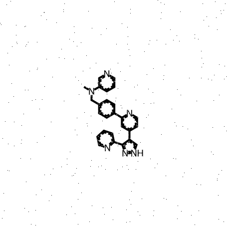 CN(Cc1ccc(-c2cc(-c3c[nH]nc3-c3ccccn3)ccn2)cc1)c1cccnc1